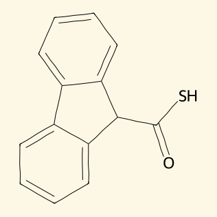 O=C(S)C1c2ccccc2-c2ccccc21